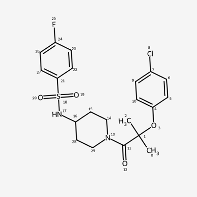 CC(C)(Oc1ccc(Cl)cc1)C(=O)N1CCC(NS(=O)(=O)c2ccc(F)cc2)CC1